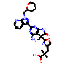 CC(C)(Cc1coc(C2(C)C(=O)Nc3nc(-c4nn(CC5CCCCO5)c5ncccc45)nc(N)c32)n1)C(=O)O